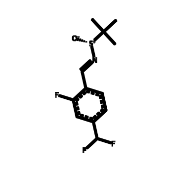 CC(C)(C)[S@@+]([O-])N=Cc1ccc(C(F)F)cc1F